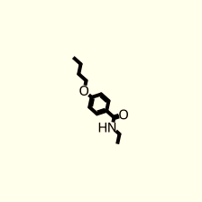 CCCCOc1ccc(C(=O)NCC)cc1